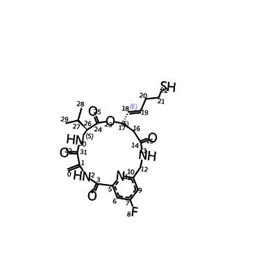 C=C1NC(=O)c2cc(F)cc(n2)CNC(=O)C[C@@H](/C=C/CCS)OC(=O)[C@H](C(C)C)NC1=O